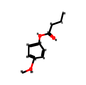 [CH2]CCC(=O)Oc1ccc(OC)cc1